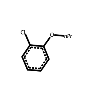 [CH2]CCOc1ccccc1Cl